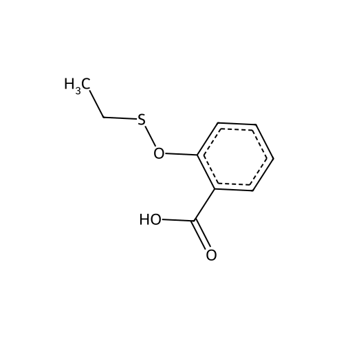 CCSOc1ccccc1C(=O)O